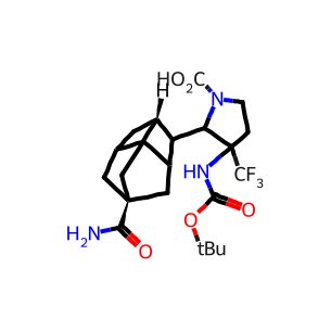 CC(C)(C)OC(=O)NC1(C(F)(F)F)CCN(C(=O)O)C1C1C2CC3C[C@H]1C[C@@](C(N)=O)(C3)C2